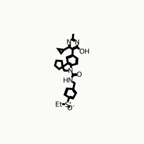 CC[S+]([O-])c1ccc(CNC(=O)N2CC3(CCCC3)c3cc(-c4c(O)nc(C)nc4C4CC4)ccc32)cc1